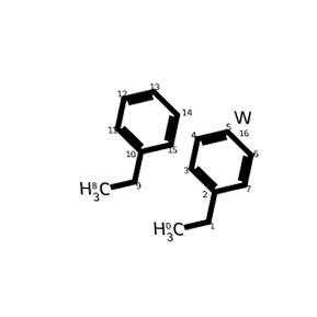 CCc1ccccc1.CCc1ccccc1.[W]